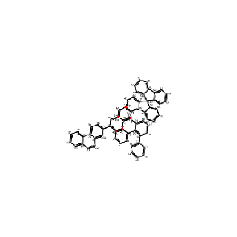 c1ccc(-c2ccccc2-c2c(-c3ccccc3)cccc2N(c2ccc(-c3ccc4c(ccc5ccccc54)c3)cc2)c2cccc3c2-c2ccccc2C32c3ccccc3-c3ccccc32)cc1